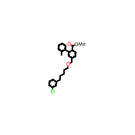 COC(=O)c1ccc(COCCCCCc2cccc(Cl)c2)cc1-c1ccccc1C